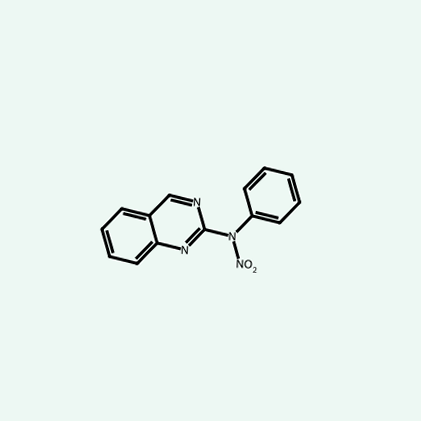 O=[N+]([O-])N(c1ccccc1)c1ncc2ccccc2n1